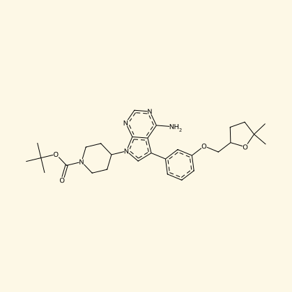 CC(C)(C)OC(=O)N1CCC(n2cc(-c3cccc(OCC4CCC(C)(C)O4)c3)c3c(N)ncnc32)CC1